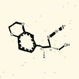 C[C@H](c1ccc2c(c1)OCCO2)[C@@H](CO)N=[N+]=[N-]